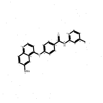 CNc1ccc2nccc(Oc3ccc(C(=O)Nc4cc(C)ccn4)cc3)c2c1